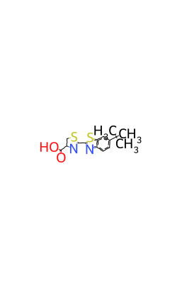 CC(C)(C)c1ccc2nc(C3=NC(C(=O)O)CS3)sc2c1